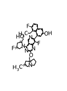 CCc1c(F)ccc2cc(O)cc(-c3ncc4c(N5C[C@H](F)C[C@H]5CO)nc(OC[C@@]56CCCN5C[C@H](C)C6)nc4c3F)c12